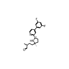 CN(C=O)CC[C@]1(C)CC[C@H](c2cc(-c3cc(F)cc(F)c3)ccn2)N1